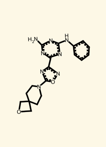 Nc1nc(Nc2ccccc2)nc(-c2noc(N3CCC4(CC3)COC4)n2)n1